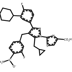 N[S+]([O-])c1ccc(Cc2c(-c3ccc(F)c(C4CCCCC4)c3)nn(-c3nc(C(=O)O)cs3)c2CC2CC2)cc1F